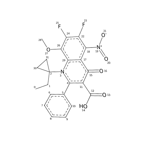 CCC1(n2c(-c3ccccc3)c(C(=O)O)c(=O)c3c([N+](=O)[O-])c(F)c(F)c(OC)c32)CC1